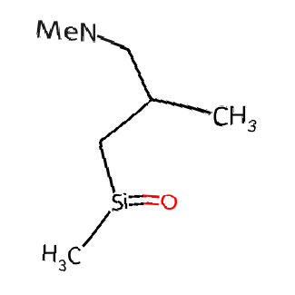 CNCC(C)C[Si](C)=O